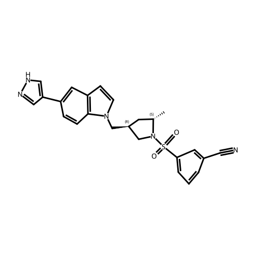 C[C@H]1C[C@H](Cn2ccc3cc(-c4cn[nH]c4)ccc32)CN1S(=O)(=O)c1cccc(C#N)c1